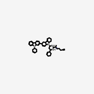 C#CCC/C=C(\C)C1NC(C2C=CCCC2)CC(N2C3CCCC=C3C3CC(C4=CC5C(C=C4)c4ccccc4N5C4CC=CCC4)C=CC32)N1